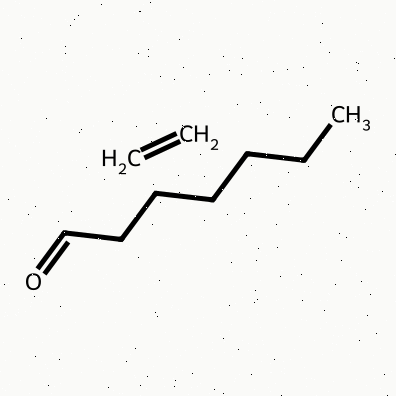 C=C.CCCCCCC=O